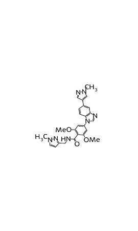 COc1cc(-n2cnc3cc(-c4cnn(C)c4)ccc32)cc(OC)c1C(=O)NCc1ccn(C)n1